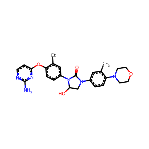 CCc1cc(N2C(=O)N(c3ccc(N4CCOCC4)c(C(F)(F)F)c3)CC2O)ccc1Oc1ccnc(N)n1